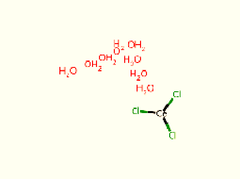 O.O.O.O.O.O.O.O.[Cl][Ce]([Cl])[Cl]